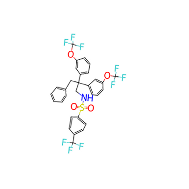 O=S(=O)(NCC(Cc1ccccc1)(c1cccc(OC(F)(F)F)c1)c1cccc(OC(F)(F)F)c1)c1ccc(C(F)(F)F)cc1